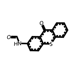 O=CNc1ccc2sc3ccccc3c(=O)c2c1